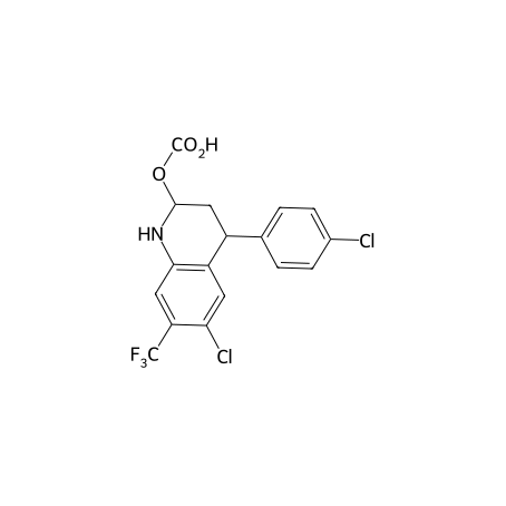 O=C(O)OC1CC(c2ccc(Cl)cc2)c2cc(Cl)c(C(F)(F)F)cc2N1